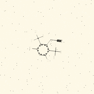 N#CCc1c(C(F)(F)F)c(F)cc(F)c1C(F)(F)F